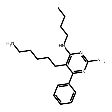 CCCCNc1nc(N)nc(-c2ccccc2)c1CCCCCN